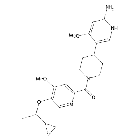 COC1=CC(N)NC=C1C1CCN(C(=O)c2cc(OC)c(OC(C)C3CC3)cn2)CC1